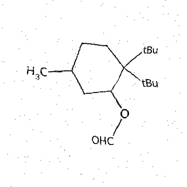 CC1CCC(C(C)(C)C)(C(C)(C)C)C(OC=O)C1